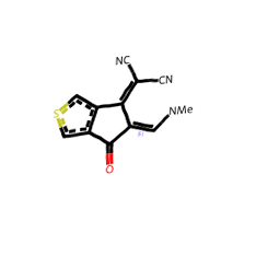 CN/C=C1/C(=O)c2cscc2C1=C(C#N)C#N